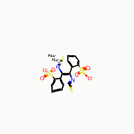 O=S(=O)([O-])c1ccccc1C(N=C=S)=C(N=C=S)c1ccccc1S(=O)(=O)[O-].[Na+].[Na+]